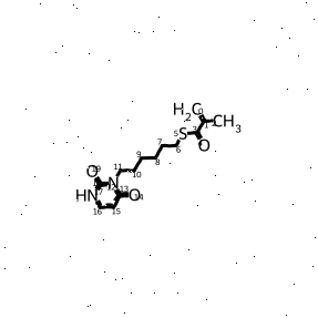 C=C(C)C(=O)SCCCCCCn1c(=O)cc[nH]c1=O